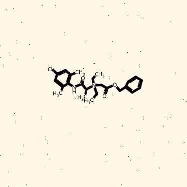 CC[N+](CC)(CC(=O)OCc1ccccc1)C(C)C(=O)Nc1c(C)cc(Cl)cc1C